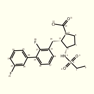 CCS(=O)(=O)N[C@H]1CCN(C(=O)Cl)[C@H]1Cc1cccc(-c2cccc(F)c2)c1F